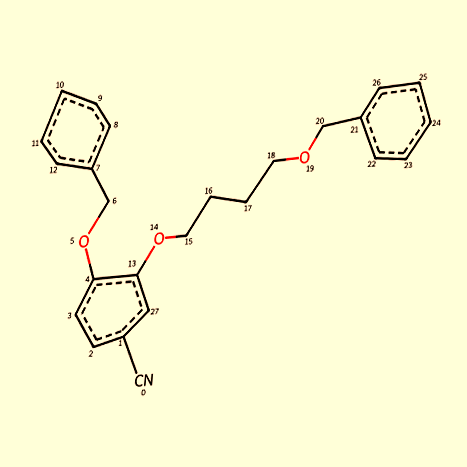 N#Cc1ccc(OCc2ccccc2)c(OCCCCOCc2ccccc2)c1